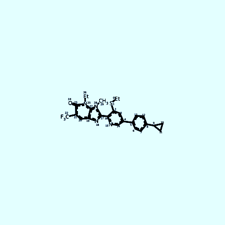 CCSc1cc(-c2ccc(C3CC3)cc2)cnc1-c1nc2cc(C(F)(F)F)c(=O)n(CC)c2n1C